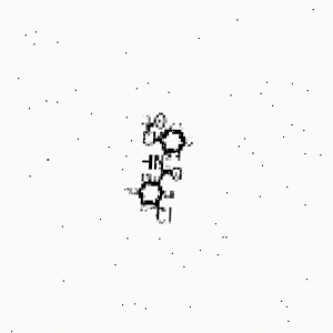 O=C(Nc1cccc2c1OCO2)c1cccc(Cl)c1